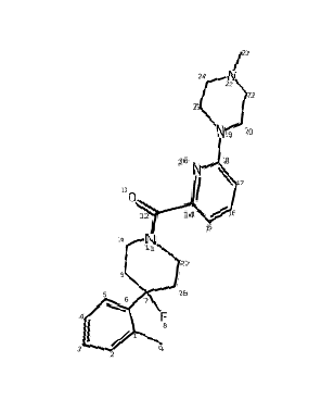 Cc1ccccc1C1(F)CCN(C(=O)c2cccc(N3CCN(C)CC3)n2)CC1